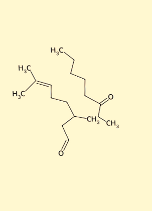 CC(C)=CCCC(C)CC=O.CCCCCC(=O)CC